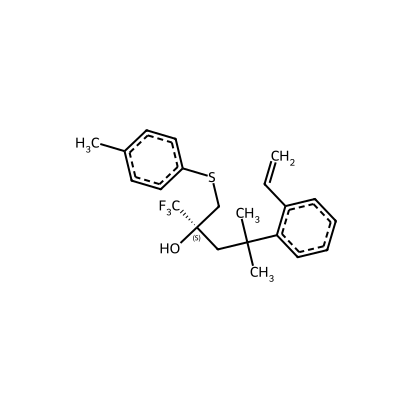 C=Cc1ccccc1C(C)(C)C[C@@](O)(CSc1ccc(C)cc1)C(F)(F)F